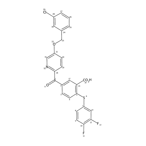 O=C(c1ccc(Sc2ccc(F)c(F)c2)c(C(=O)O)c1)c1ccc(OCc2cccc(Cl)c2)cn1